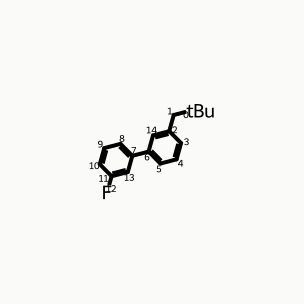 CC(C)(C)Cc1cccc(-c2cccc(F)c2)c1